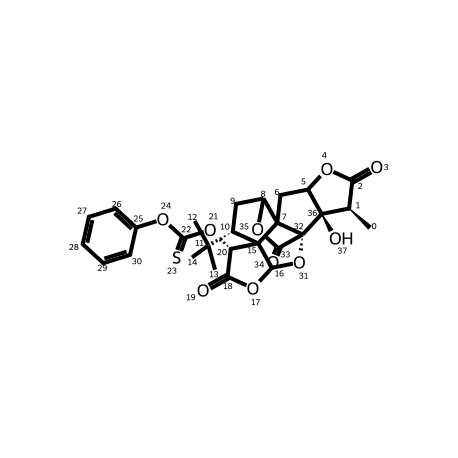 C[C@@H]1C(=O)OC2CC34C5C[C@@H](C(C)(C)C)C36C(OC(=O)[C@@H]6OC(=S)Oc3ccccc3)O[C@@]4(C(=O)O5)[C@]21O